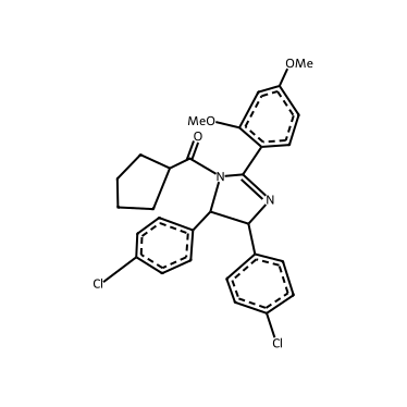 COc1ccc(C2=NC(c3ccc(Cl)cc3)C(c3ccc(Cl)cc3)N2C(=O)C2CCCC2)c(OC)c1